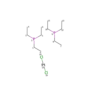 CCP(CC)CC.CCP(CC)CC.[Cl][Pt][Cl]